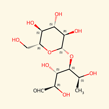 C[C@H](O)[C@H](O[C@@H]1O[C@H](CO)[C@@H](O)[C@H](O)[C@H]1O)[C@@H](O)[C@@H](O)C=O